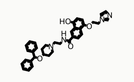 O=C(NCCN1CCC(OC(c2ccccc2)c2ccccc2)CC1)c1ccc2c(OCCn3ccnc3)ccc(O)c2c1